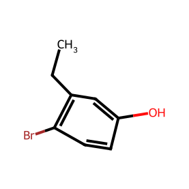 CCc1cc(O)ccc1Br